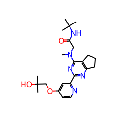 CN(CC(=O)NC(C)(C)C)c1nc(-c2cc(OCC(C)(C)O)ccn2)nc2c1CCC2